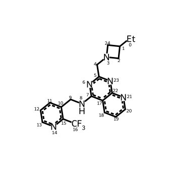 CCC1CN(Cc2nc(NCc3cccnc3C(F)(F)F)c3cccnc3n2)C1